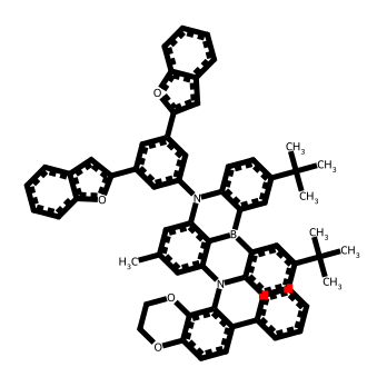 Cc1cc2c3c(c1)N(c1c(-c4ccccc4)ccc4c1OCCO4)c1ccc(C(C)(C)C)cc1B3c1cc(C(C)(C)C)ccc1N2c1cc(-c2cc3ccccc3o2)cc(-c2cc3ccccc3o2)c1